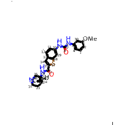 COc1cccc(NC(=O)Nc2ccc3cc(C(=O)N[C@H]4CN5CCC4CC5)sc3c2)c1